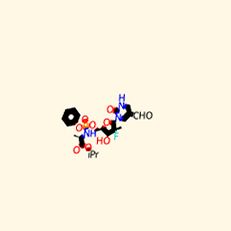 CC(C)OC(=O)[C@H](C)NP(=O)(OC[C@H]1O[C@@H](N2C=C(C=O)CNC2=O)[C@](C)(F)[C@@H]1O)Oc1ccccc1